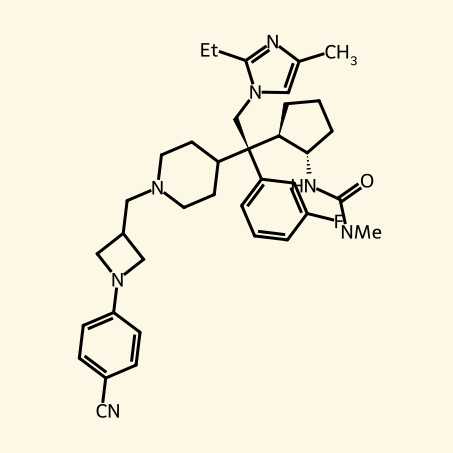 CCc1nc(C)cn1C[C@@](c1cccc(F)c1)(C1CCN(CC2CN(c3ccc(C#N)cc3)C2)CC1)[C@H]1CCC[C@@H]1NC(=O)NC